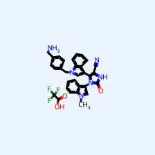 Cn1cc(-n2c(-c3cn(Cc4ccc(CN)cc4)c4ccccc34)c(C#N)[nH]c2=O)c2ccccc21.O=C(O)C(F)(F)F